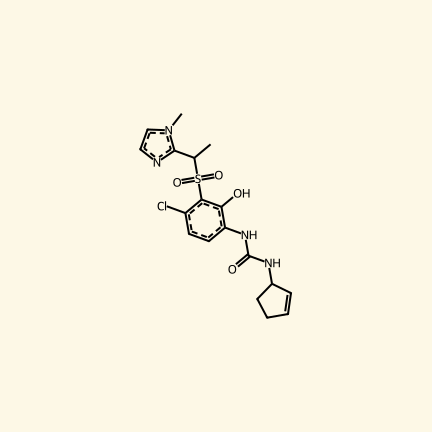 CC(c1nccn1C)S(=O)(=O)c1c(Cl)ccc(NC(=O)NC2C=CCC2)c1O